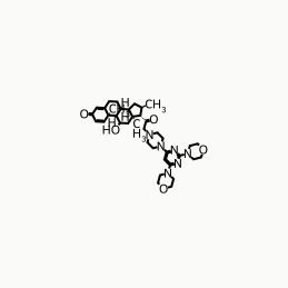 C[C@@H]1C[C@H]2[C@@H]3CCC4=CC(=O)C=C[C@]4(C)[C@H]3C(O)C[C@]2(C)[C@H]1C(=O)CN1CCN(c2cc(N3CCOCC3)nc(N3CCOCC3)n2)CC1